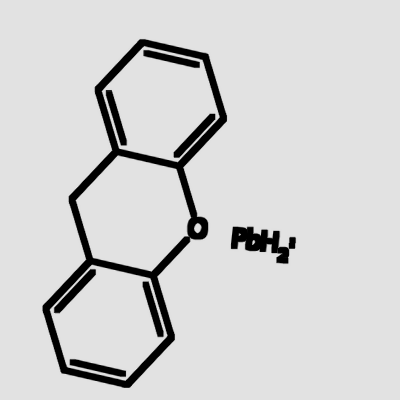 [PbH2].c1ccc2c(c1)Cc1ccccc1O2